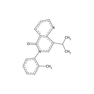 Cc1ccccc1-n1cc(C(C)C)c2ncccc2c1=O